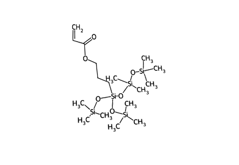 C=CC(=O)OCCC[Si](O[Si](C)(C)C)(O[Si](C)(C)C)O[Si](C)(C)O[Si](C)(C)C